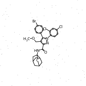 COCc1c(C(=O)NC23CC4CC(CC2C4)C3)nn(-c2ccc(Cl)cc2Cl)c1-c1ccc(Br)cc1